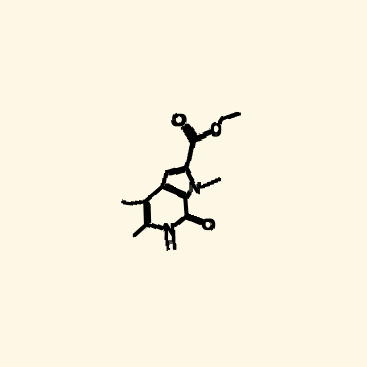 CCOC(=O)c1cc2c(C)c(C)[nH]c(=O)c2n1C